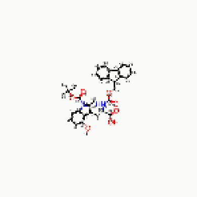 COc1cccc2c1c(C[C@H](NC(=O)OCC1c3ccccc3-c3ccccc31)C(=O)O)c(C)n2C(=O)OC(C)(C)C